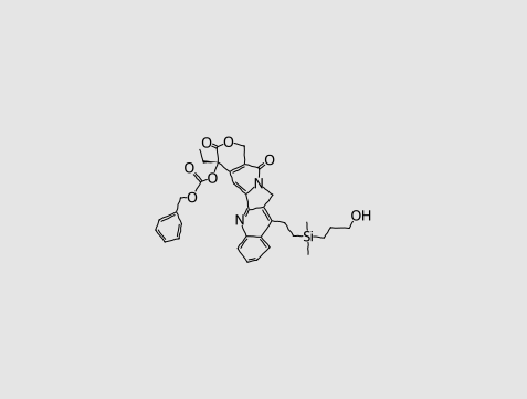 CC[C@@]1(OC(=O)OCc2ccccc2)C(=O)OCc2c1cc1n(c2=O)Cc2c-1nc1ccccc1c2CC[Si](C)(C)CCCO